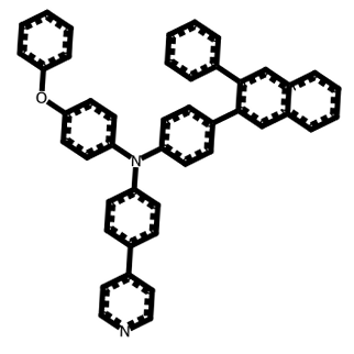 c1ccc(Oc2ccc(N(c3ccc(-c4ccncc4)cc3)c3ccc(-c4cc5ccccc5cc4-c4ccccc4)cc3)cc2)cc1